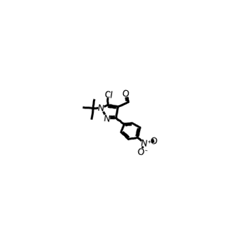 CC(C)(C)n1nc(-c2ccc([N+](=O)[O-])cc2)c(C=O)c1Cl